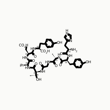 CC(C)[C@H](NC(=O)[C@@H](NC(=O)CNC(=O)[C@H](C)NC(=O)[C@H](Cc1ccc(O)cc1)NC(=O)[C@@H](N)Cc1c[nH]cn1)[C@@H](C)O)C(=O)N[C@@H](CC(=O)O)C(=O)N[C@@H](Cc1ccc(O)cc1)C(=O)O